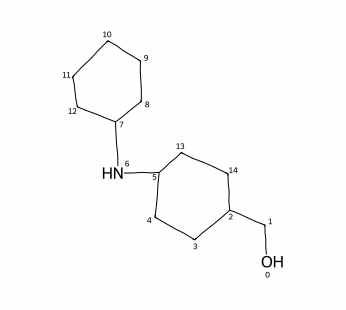 OCC1CCC(NC2CCCCC2)CC1